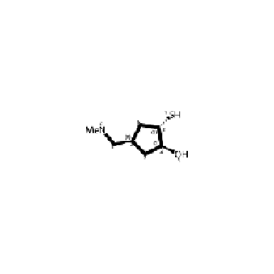 CNC[C@@H]1C[C@H](O)[C@@H](S)C1